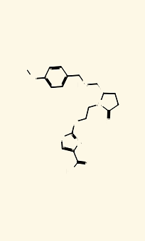 COc1ccc(CNC[C@H]2CCC(=O)N2CCSc2nc(C(=O)O)cs2)cc1